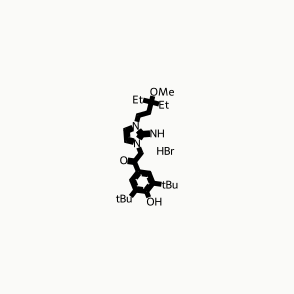 Br.CCC(CC)(CCn1ccn(CC(=O)c2cc(C(C)(C)C)c(O)c(C(C)(C)C)c2)c1=N)OC